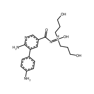 Nc1ccc(-c2cc(C(=O)N=[SH](O)(CCCO)CCCO)cnc2N)cc1